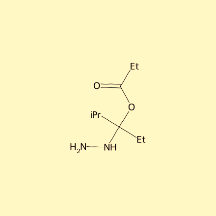 CCC(=O)OC(CC)(NN)C(C)C